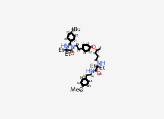 CCC(CC)(NCCCC(C)Oc1ccc(CCN2C(=O)C(CC)(CC)NC2c2ccc(C(C)(C)C)cc2)cc1)C(=O)NCCc1ccc(OC)cc1